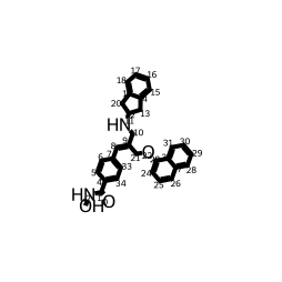 O=C(NO)c1ccc(/C=C(/CNC2Cc3ccccc3C2)COc2cccc3ccccc23)cc1